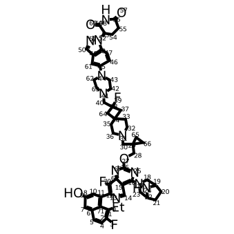 CCc1c(F)ccc2cc(O)cc(-c3ncc4c(N5CC6CCC(C5)N6)nc(OCC5(CN6CCC7(CC6)CC(F)(CN6CCN(c8ccc9c(cnn9C9CCC(=O)NC9=O)c8)CC6)C7)CC5)nc4c3F)c12